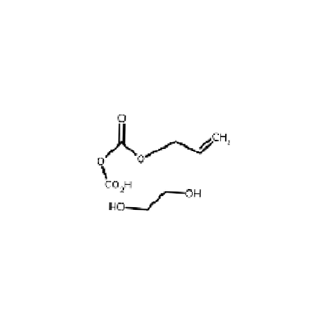 C=CCOC(=O)OC(=O)O.OCCO